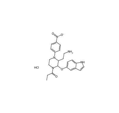 CCC(=O)N1CCN(c2ccc([N+](=O)[O-])cc2)C(CCN)C1Oc1ccc2[nH]ccc2c1.Cl